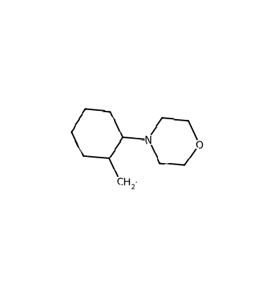 [CH2]C1CCCCC1N1CCOCC1